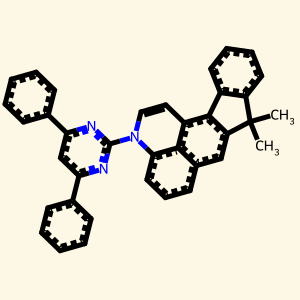 CC1(C)c2ccccc2-c2c1cc1cccc3c1c2C=CN3c1nc(-c2ccccc2)cc(-c2ccccc2)n1